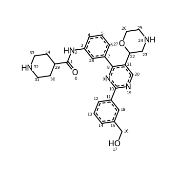 O=C(Nc1cccc(-c2nc(-c3cccc(CO)c3)ncc2C2CNCCO2)c1)C1CCNCC1